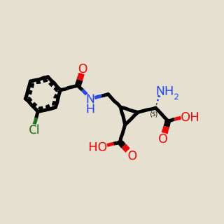 N[C@H](C(=O)O)C1C(CNC(=O)c2cccc(Cl)c2)C1C(=O)O